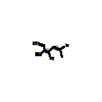 CC(=O)C(/C=C(\C)Br)=C(\O)C=N